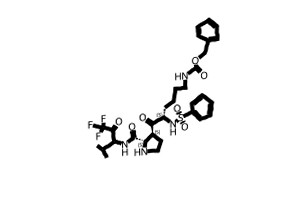 CC(C)C(NC(=O)[C@H]1NCC[C@@H]1C(=O)[C@H](CCCCNC(=O)OCc1ccccc1)NS(=O)(=O)c1ccccc1)C(=O)C(F)(F)F